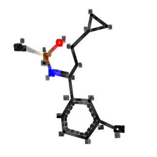 CC(C)(C)[S@+]([O-])N=C(CCC1CC1)c1cccc(C#N)c1